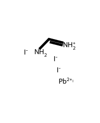 NC=[NH2+].[I-].[I-].[I-].[Pb+2]